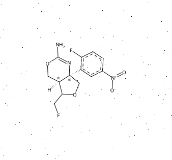 NC1=N[C@@]2(c3cc([N+](=O)[O-])ccc3F)COC(CF)[C@H]2CO1